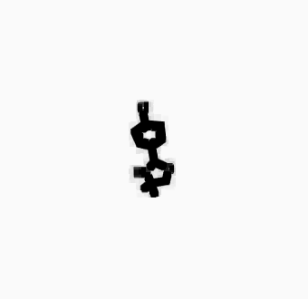 CC1(C)COC(c2ccc(Cl)cc2)N1